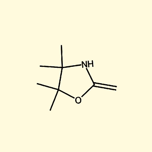 C=C1NC(C)(C)C(C)(C)O1